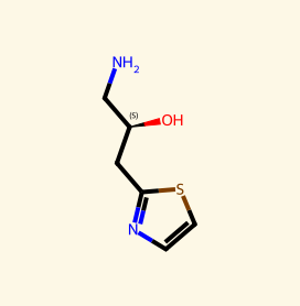 NC[C@@H](O)Cc1nccs1